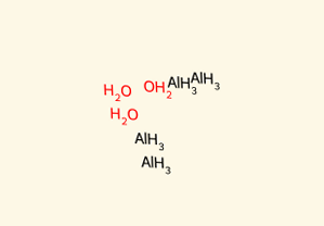 O.O.O.[AlH3].[AlH3].[AlH3].[AlH3]